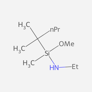 CCCC(C)(C)[Si](C)(NCC)OC